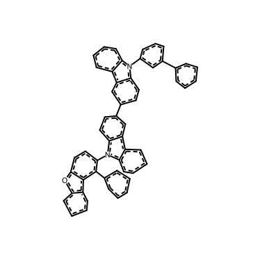 c1ccc(-c2cccc(-n3c4ccccc4c4cc(-c5ccc6c(c5)c5ccccc5n6-c5ccc6oc7ccccc7c6c5-c5ccccc5)ccc43)c2)cc1